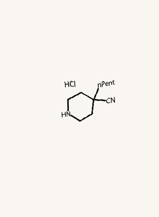 CCCCCC1(C#N)CCNCC1.Cl